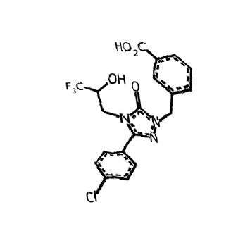 O=C(O)c1cccc(Cn2nc(-c3ccc(Cl)cc3)n(CC(O)C(F)(F)F)c2=O)c1